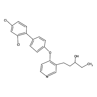 CCC(O)CCc1cnccc1Oc1ccc(-c2ccc(Cl)cc2Cl)cc1